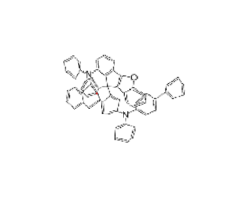 c1ccc(-c2ccc(N(c3ccccc3)c3ccc4c(c3)C3(c5ccccc5-4)c4c(cccc4N(c4ccccc4)c4cccc5ccccc45)-c4oc5ccccc5c43)cc2)cc1